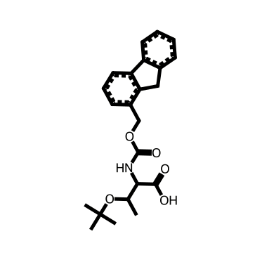 CC(OC(C)(C)C)C(NC(=O)OCc1cccc2c1Cc1ccccc1-2)C(=O)O